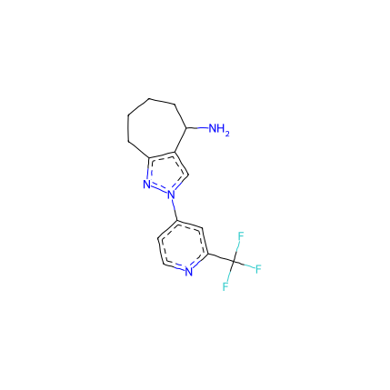 NC1CCCCc2nn(-c3ccnc(C(F)(F)F)c3)cc21